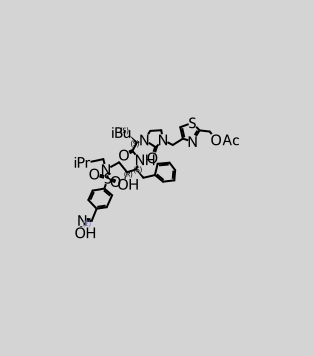 CC[C@H](C)[C@@H](C(=O)N[C@@H](Cc1ccccc1)[C@H](O)CN(CC(C)C)S(=O)(=O)c1ccc(/C=N/O)cc1)N1CCN(Cc2csc(COC(C)=O)n2)C1=O